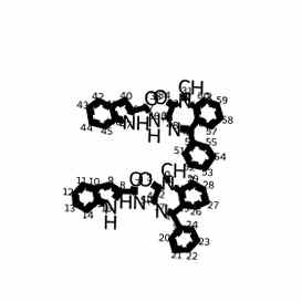 CN1C(=O)[C@@H](NC(=O)c2cc3ccccc3[nH]2)N=C(c2ccccc2)c2ccccc21.CN1C(=O)[C@@H](NC(=O)c2cc3ccccc3[nH]2)N=C(c2ccccc2)c2ccccc21